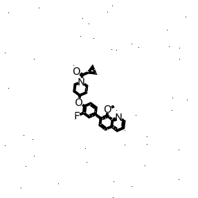 COc1c(-c2ccc(OC3CCN(C(=O)C4CC4)CC3)c(F)c2)ccc2cccnc12